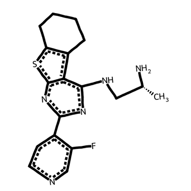 C[C@@H](N)CNc1nc(-c2ccncc2F)nc2sc3c(c12)CCCC3